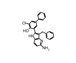 Nc1ccc2[nH]c(-c3cc(-c4ccccc4)cc(Cl)c3O)c(Cc3ccccc3)c2n1